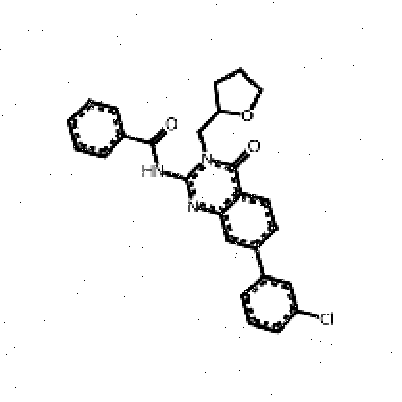 O=C(Nc1nc2cc(-c3cccc(Cl)c3)ccc2c(=O)n1CC1CCCO1)c1ccccc1